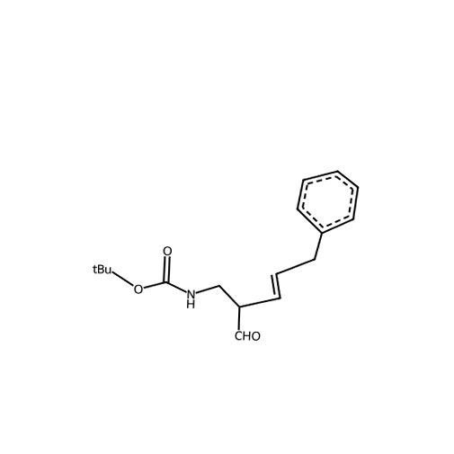 CC(C)(C)OC(=O)NCC(C=O)/C=C/Cc1ccccc1